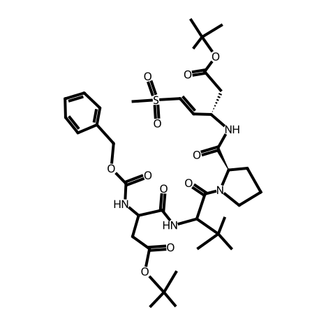 CC(C)(C)OC(=O)CC(NC(=O)OCc1ccccc1)C(=O)NC(C(=O)N1CCC[C@@H]1C(=O)N[C@H](/C=C/S(C)(=O)=O)CC(=O)OC(C)(C)C)C(C)(C)C